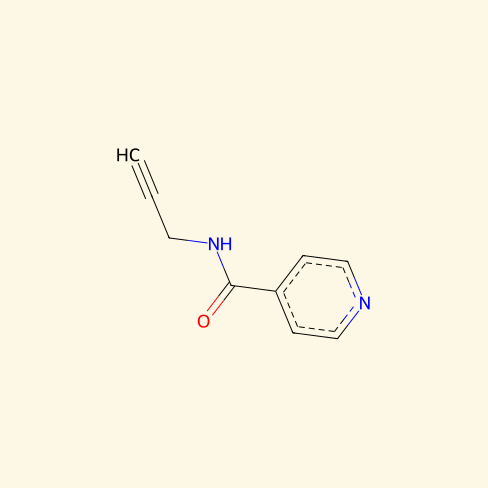 C#CCNC(=O)c1ccncc1